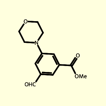 COC(=O)c1cc(C=O)cc(N2CCOCC2)c1